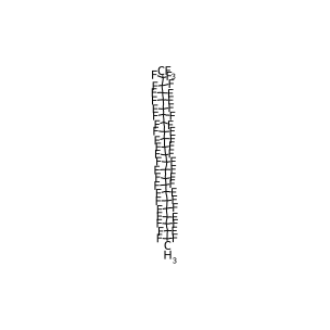 CC(F)(F)C(F)(F)C(F)(F)C(F)(F)C(F)(F)C(F)(F)C(F)(F)C(F)(F)C(F)(F)C(F)(F)C(F)(F)C(F)(F)C(F)(F)C(F)(F)C(F)(F)C(F)(F)C(F)(F)C(F)(F)C(F)(F)C(F)(F)C(F)(F)C(F)(F)C(F)(F)F